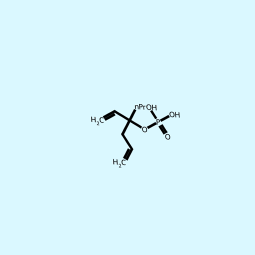 C=CCC(C=C)(CCC)OP(=O)(O)O